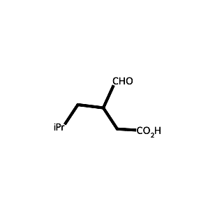 CC(C)CC(C=O)CC(=O)O